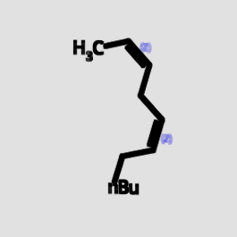 C/C=C\C/C=C\CCCCC